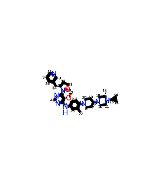 COc1cc(N2CCC(N3CCN(C4CC4)[C@@H](C)C3)CC2)c(C)cc1Nc1cc(N2OCC[C@@H]2Cc2cccnc2)ncn1